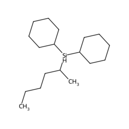 CCCCC(C)[SiH](C1CCCCC1)C1CCCCC1